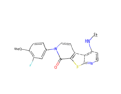 CCNc1ccnc2sc3c(=O)n(-c4ccc(OC)c(F)c4)ccc3c12